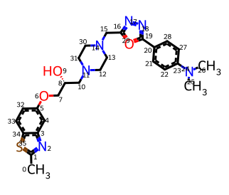 Cc1nc2cc(OC[C@H](O)CN3CCN(Cc4nnc(-c5ccc(N(C)C)cc5)o4)CC3)ccc2s1